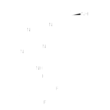 CN[C@@H]1CCN(c2ncnc(NCC3(C(F)(F)F)CC3)n2)C1